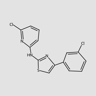 Clc1cccc(-c2csc(Nc3cccc(Cl)n3)n2)c1